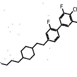 CC(C)CCCC1CCC(CCc2ccc(-c3cc(F)c(C(F)(F)F)c(F)c3)c(F)c2)CC1